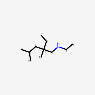 CCNCC(C)(CC)CC(C)C